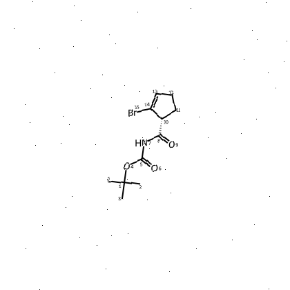 CC(C)(C)OC(=O)NC(=O)[C@H]1CCC=C1Br